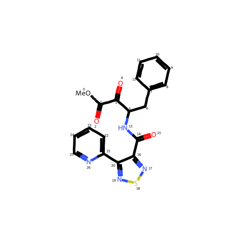 COC(=O)C(=O)C(Cc1ccccc1)NC(=O)c1nsnc1-c1ccccn1